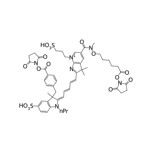 CCCN1/C(=C/C=C/C=C/C2=Nc3c(cc(C(=O)N(C)OCCCCCC(=O)ON4C(=O)CCC4=O)c[n+]3CCCS(=O)(=O)O)C2(C)C)C(C)(Cc2ccc(C(=O)ON3C(=O)CCC3=O)cc2)c2cc(S(=O)(=O)O)ccc21